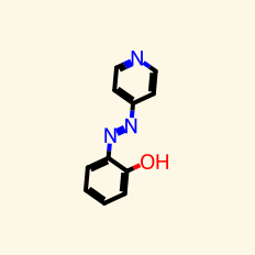 Oc1ccccc1N=Nc1ccncc1